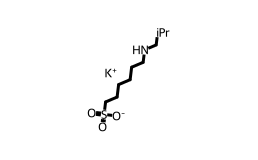 CC(C)CNCCCCCCS(=O)(=O)[O-].[K+]